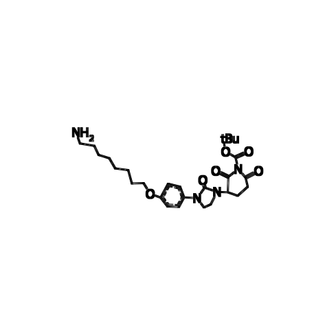 CC(C)(C)OC(=O)N1C(=O)CCC(N2CCN(c3ccc(OCCCCCCCCN)cc3)C2=O)C1=O